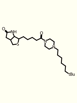 CC(C)(C)CCCCCCN1CCN(C(=O)CCCCC2SCC3CC(=O)NC32)CC1